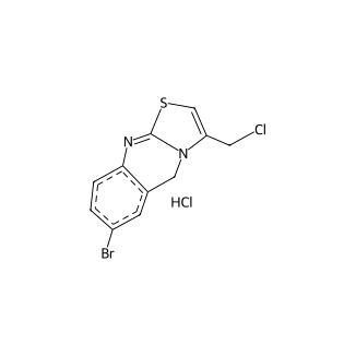 Cl.ClCC1=CSC2=Nc3ccc(Br)cc3CN12